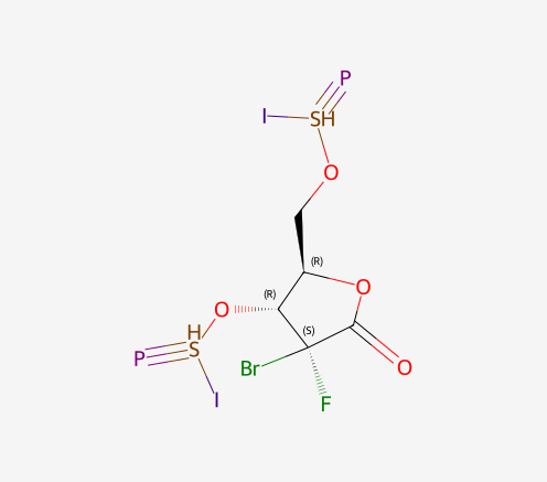 O=C1O[C@H](CO[SH](#P)I)[C@@H](O[SH](#P)I)[C@]1(F)Br